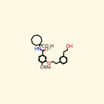 COc1ccc(C(=O)NC2(C(=O)O)CCCCCCC2)cc1OCCc1cccc(CCO)c1